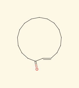 O=C1/C=C/CCCCCCCCCCCCCC1